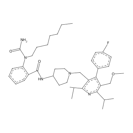 CCCCCCCN(C(N)=O)c1ccccc1C(=O)NC1CCN(Cc2c(C(C)C)nc(C(C)C)c(COC)c2-c2ccc(F)cc2)CC1